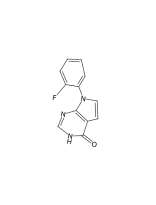 O=c1[nH]cnc2c1ccn2-c1ccccc1F